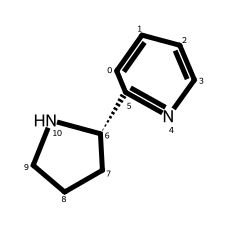 [c]1cccnc1[C@@H]1CCCN1